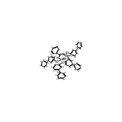 c1ccc(C2=NP(Oc3cccc(-c4ccccc4)c3)(Oc3cccc(-c4ccccc4)c3)=NP(Oc3cccc(-c4ccccc4)c3)(Oc3cccc(-c4ccccc4)c3)=N2)cc1